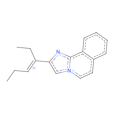 CC/C=C(\CC)c1cn2ccc3ccccc3c2n1